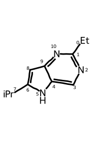 CCc1ncc2[nH]c(C(C)C)cc2n1